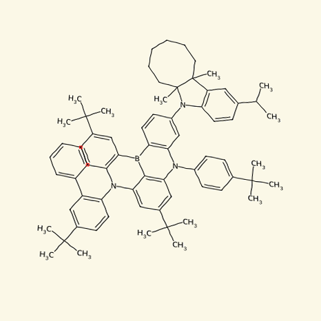 CC(C)c1ccc2c(c1)C1(C)CCCCCCC1(C)N2c1ccc2c(c1)N(c1ccc(C(C)(C)C)cc1)c1cc(C(C)(C)C)cc3c1B2c1cc(C(C)(C)C)ccc1N3c1ccc(C(C)(C)C)cc1-c1ccccc1